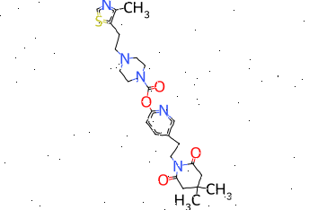 Cc1ncsc1CCN1CCN(C(=O)Oc2ccc(CCN3C(=O)CC(C)(C)CC3=O)cn2)CC1